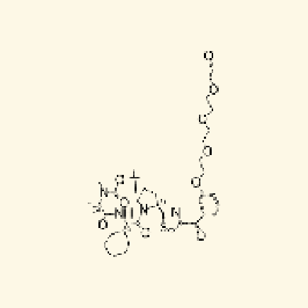 C[C@@H](C(=O)N[C@H](C(=O)N1CCC[C@H]1c1nc(C(=O)c2cccc(OCCOCCOCCOCC=O)c2)cs1)C1CCCCC1)N(C)C(=O)OC(C)(C)C